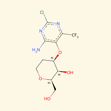 Nc1nc(Cl)nc(C(F)(F)F)c1O[C@@H]1CCO[C@H](CO)[C@@H]1O